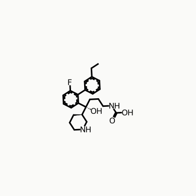 CCc1cccc(-c2c(F)cccc2[C@@](O)(CCCNC(=O)O)[C@@H]2CCCNC2)c1